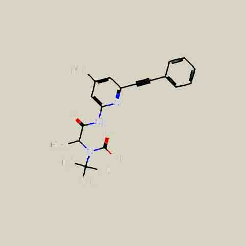 Cc1cc(C#Cc2ccccc2)nc(NC(=O)C(C)N(C(=O)O)C(C)(C)C)c1